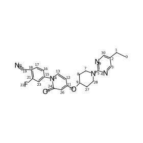 CCc1cnc(N2CCC(Oc3ccn(-c4ccc(C#N)c(F)c4)c(=O)c3)CC2)nc1